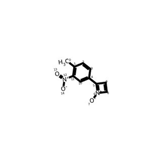 Cc1ccc(C2=[N+]([O-])C=C2)cc1[N+](=O)[O-]